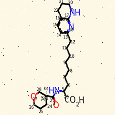 C[C@]1(C(=O)NC(CCCCCCCc2ccc3c(n2)NCCC3)C(=O)O)CCCOC1